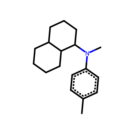 Cc1ccc(N(C)C2CCCC3CCCCC32)cc1